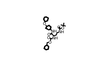 CC(C)(C)OC(=O)NCCC(NC(=O)OCc1ccccc1)C(=O)Nc1ccc(Oc2ccccc2)cc1